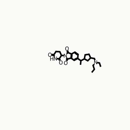 CCCN(CC)CC1CCC(C(C)c2ccc3c(c2)C(=O)N(C2CCC(=O)NC2=O)C3=O)C1